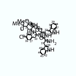 COC(=O)C(C[C@H](NC(=O)[C@H](Cc1ccc(Cl)cc1)NC(=O)[C@H](Cc1c[nH]c2ccccc12)NC(=O)[C@H](N)Cc1c[nH]c2ccccc12)C(N)=O)C(=O)OC